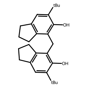 CC(C)(C)c1cc2c(c(Cc3c(O)c(C(C)(C)C)cc4c3CCC4)c1O)CCC2